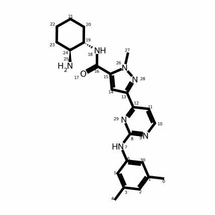 Cc1cc(C)cc(Nc2nccc(-c3cc(C(=O)N[C@H]4CCCC[C@@H]4N)n(C)n3)n2)c1